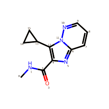 CNC(=O)c1nc2cccnn2c1C1CC1